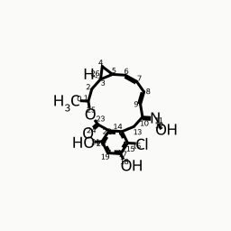 CC1C[C@H]2CC2\C=C/C=C/C(=N/O)Cc2c(Cl)c(O)cc(O)c2C(=O)O1